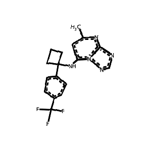 Cc1cc(NC2(c3ccc(C(F)(F)F)cc3)CCC2)n2ncnc2n1